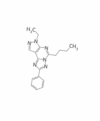 CCCCc1nc2c(cnn2CC)c2nc(-c3ccccc3)nn12